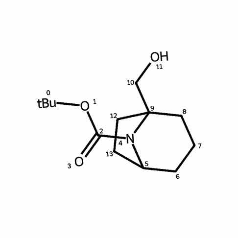 CC(C)(C)OC(=O)N1C2CCCC1(CO)CC2